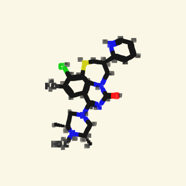 C[C@@H]1CN(c2nc(=O)n3c4c(c(Cl)c(C(F)(F)F)cc24)SC[C@@H](c2ccccn2)C3)C[C@H](C)N1C(=O)O